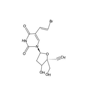 C#C[C@@]1(CO)O[C@H](n2cc(C=CBr)c(=O)[nH]c2=O)CC1O